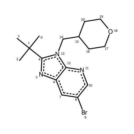 CC(C)(C)c1nc2cc(Br)cnc2n1CC1CCOCC1